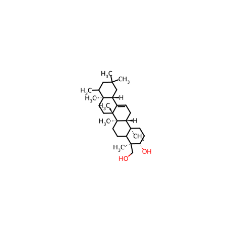 CC1CC(C)(C)C[C@@H]2C3=CC[C@@H]4[C@@]5(C)CC[C@H](O)[C@@](C)(CO)C5CC[C@@]4(C)[C@]3(C)CC[C@@]12C